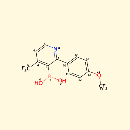 OB(O)c1c(C(F)(F)F)ccnc1-c1ccc(OC(F)(F)F)cc1